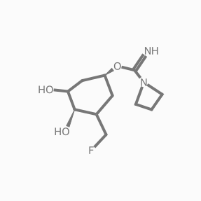 N=C(O[C@@H]1CC(O)[C@H](O)C(CF)C1)N1CCC1